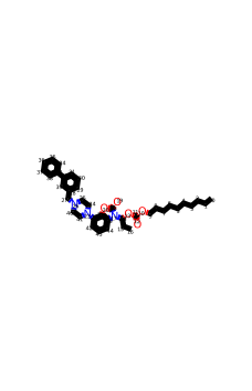 CCCCCCCCCCOC(=O)OC(CC)n1c(=O)oc2c(N3CCN(Cc4cccc(-c5ccccc5)c4)CC3)cccc21